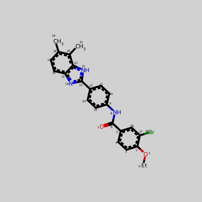 CCOc1ccc(C(=O)Nc2ccc(-c3nc4ccc(C)c(C)c4[nH]3)cc2)cc1Br